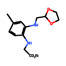 CCOC(=O)CNc1ccc(C)cc1NCC1OCCO1